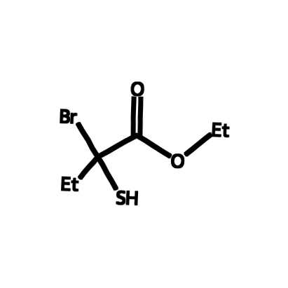 CCOC(=O)C(S)(Br)CC